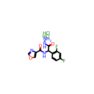 Cl.Cl.NNC(=O)C(NC(=O)c1cocn1)c1ccc(F)cc1F